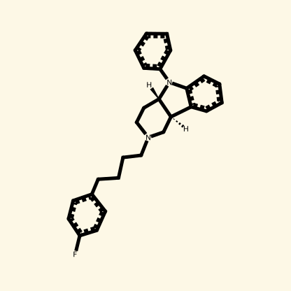 Fc1ccc(CCCCN2CC[C@H]3[C@H](C2)c2ccccc2N3c2ccccc2)cc1